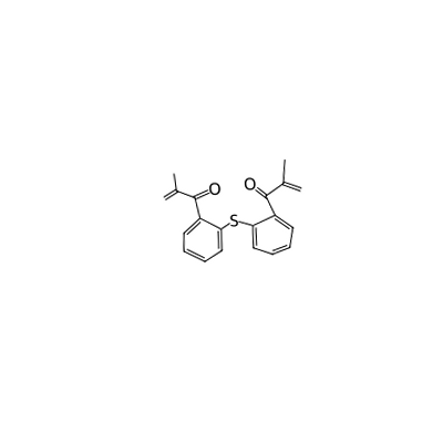 C=C(C)C(=O)c1ccccc1Sc1ccccc1C(=O)C(=C)C